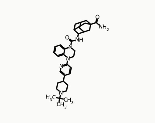 CC(C)(C)N1CCC(c2ccc(N3CCN(C(=O)NC4C5CC6CC4CC(C(N)=O)(C6)C5)c4ccccc43)nc2)CC1